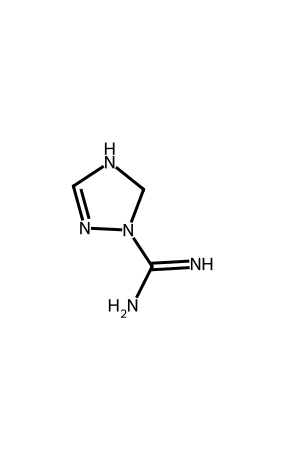 N=C(N)N1CNC=N1